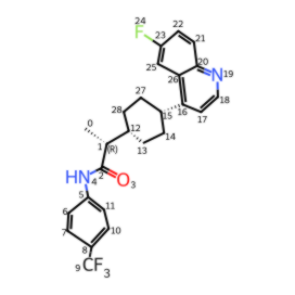 C[C@@H](C(=O)Nc1ccc(C(F)(F)F)cc1)[C@H]1CC[C@@H](c2ccnc3ccc(F)cc32)CC1